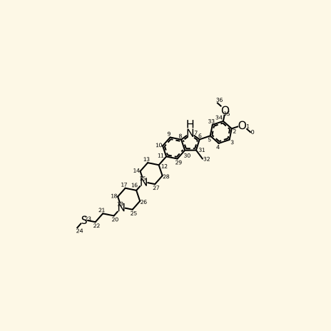 COc1ccc(-c2[nH]c3ccc(C4CCN(C5CCN(CCCSC)CC5)CC4)cc3c2C)cc1OC